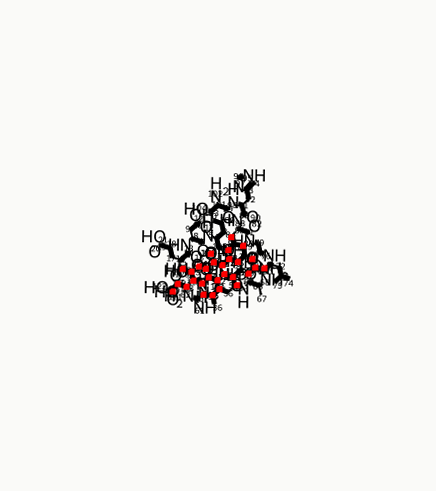 CC[C@H](C)[C@H](NC(=O)[C@H](CC(=O)O)NC(=O)[C@H](CCC(=O)O)NC(=O)[C@H](CC(=O)O)NC(=O)[C@H](CC(C)C)NC(=O)[C@H](CC(N)=O)NC(=O)[C@H](CO)NC(=O)[C@H](CCCNC(=N)N)NC(=O)[C@H](C)NC(=O)[C@H](CC(C)C)NC(=O)CNC(=O)[C@H](CC(C)C)NC(=O)[C@H](Cc1c[nH]cn1)NC(=O)[C@@H](N)CO)C(=O)N[C@H](C(=O)N[C@@H](C)C(=O)N[C@@H](CCC(=O)O)C(=O)O)[C@@H](C)CC